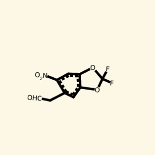 O=CCc1cc2c(cc1[N+](=O)[O-])OC(F)(F)O2